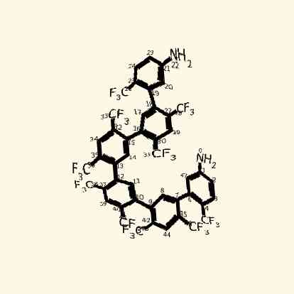 Nc1ccc(C(F)(F)F)c(-c2cc(-c3cc(-c4cc(-c5cc(-c6cc(N)ccc6C(F)(F)F)c(C(F)(F)F)cc5C(F)(F)F)c(C(F)(F)F)cc4C(F)(F)F)c(C(F)(F)F)cc3C(F)(F)F)c(C(F)(F)F)cc2C(F)(F)F)c1